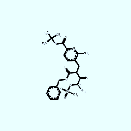 CC(C)(C)OC(=O)c1ccc(CC(C(=O)OCc2ccccc2)C(=O)[C@@H](N)OP(C)(C)=O)c(N)n1